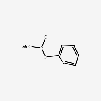 COP(O)Oc1ccccn1